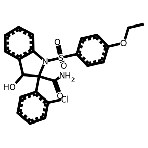 CCOc1ccc(S(=O)(=O)N2c3ccccc3C(O)C2(C(N)=O)c2ccccc2Cl)cc1